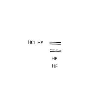 C=C.C=C.Cl.F.F.F